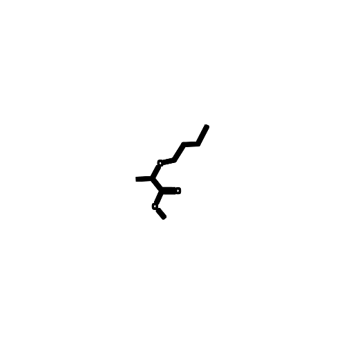 CCCCOC(C)C(=O)OC